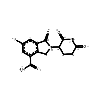 NC(=O)c1cc(F)cc2c1CN(C1CCC(=O)NC1=O)C2=O